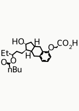 CCCCC(=O)O[C@@H](CC)CC[C@@H]1[C@H]2Cc3cccc(OCC(=O)O)c3C[C@H]2C[C@H]1O